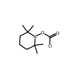 CC1(C)CCCC(C)(C)N1OC(=O)Cl